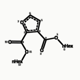 CCCCCCOC(=O)c1ccoc1C(=O)OCCCCCC